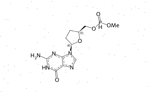 CO[PH](=O)OC[C@@H]1CC[C@H](n2cnc3c(=O)[nH]c(N)nc32)O1